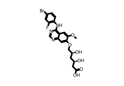 COc1cc2c(Nc3ccc(Br)cc3F)ncnc2cc1OC[C@@H](O)C[C@@H](O)CC(=O)O